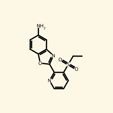 CCS(=O)(=O)c1cccnc1-c1nc2cc(N)ccc2o1